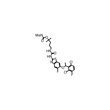 CNC(=O)OC(C)(C)CCCNC(=O)Nc1nc2cc(F)c(OC(C)c3c(Cl)ccc(F)c3Cl)cc2s1